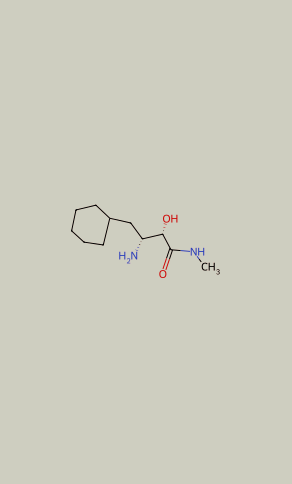 CNC(=O)[C@@H](O)[C@H](N)CC1CCCCC1